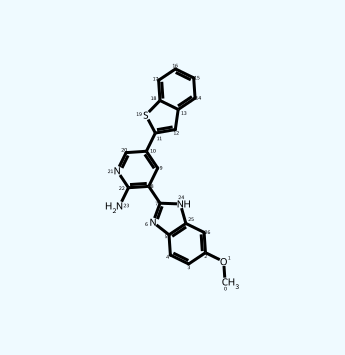 COc1ccc2nc(-c3cc(-c4cc5ccccc5s4)cnc3N)[nH]c2c1